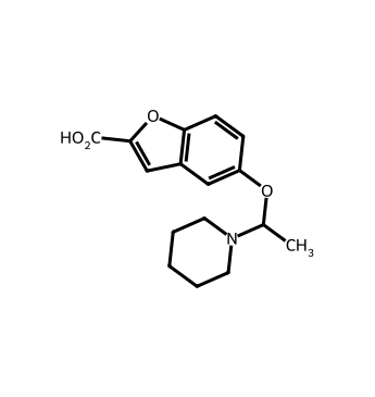 CC(Oc1ccc2oc(C(=O)O)cc2c1)N1CCCCC1